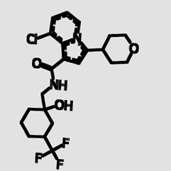 O=C(NCC1(O)CCCC(C(F)(F)F)C1)c1cc(C2CCOCC2)n2cccc(Cl)c12